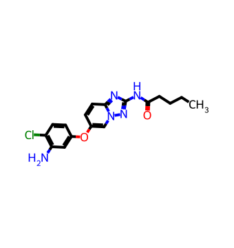 CCCCC(=O)Nc1nc2ccc(Oc3ccc(Cl)c(N)c3)cn2n1